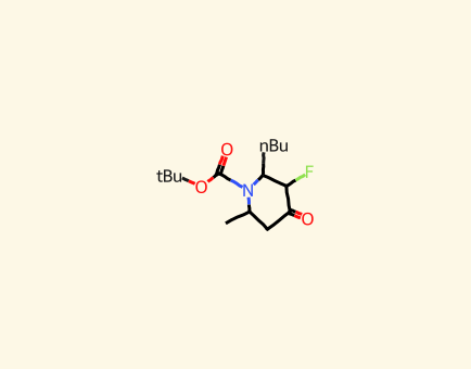 CCCCC1C(F)C(=O)CC(C)N1C(=O)OC(C)(C)C